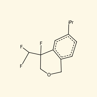 CC(C)c1ccc2c(c1)C(F)(C(F)F)COC2